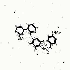 COc1ccc(CS(=O)(=O)Nc2c(F)cc(Oc3ncccc3-c3ccnc(SC)n3)c(F)c2F)cc1